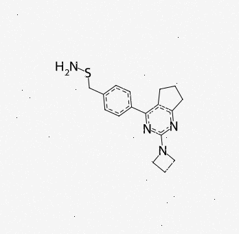 NSCc1ccc(-c2nc(N3CCC3)nc3c2CCC3)cc1